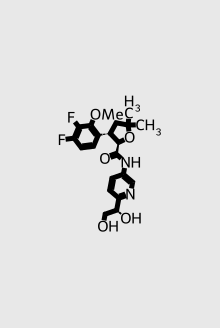 COc1c([C@@H]2CC(C)(C)O[C@H]2C(=O)Nc2ccc([C@H](O)CO)nc2)ccc(F)c1F